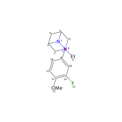 CCN1CC2CC(C1)N2Cc1ccc(OC)c(F)c1